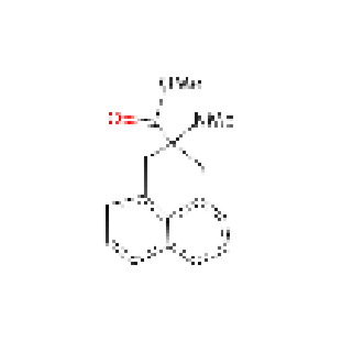 CNC1(C(=O)OC)Cc2cccc3cccc(c23)C1